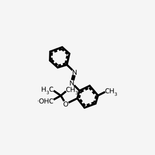 Cc1ccc(OC(C)(C)[C]=O)c(/N=N/c2ccccc2)c1